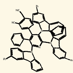 CC(C)c1ccc2c(c1)c1ccccc1n2-c1nc(-n2c3ccccc3c3cc(C(C)C)ccc32)c(-n2c3ccccc3c3cc(C(C)C)ccc32)c(-c2ccc(C#N)c(C#N)c2)c1-c1ccccc1